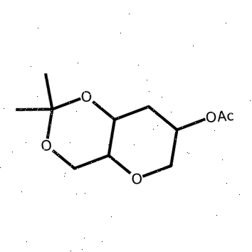 CC(=O)OC1COC2COC(C)(C)OC2C1